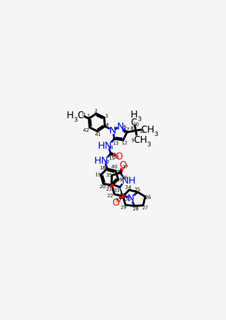 Cc1ccc(-n2nc(C(C)(C)C)cc2NC(=O)Nc2ccc(CC3CC4CCC(C3)N4C(=O)[C@H]3CCC(=O)N3)cc2)cc1